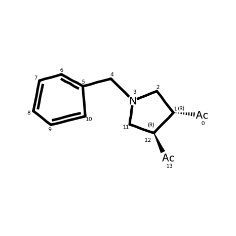 CC(=O)[C@H]1CN(Cc2ccccc2)C[C@@H]1C(C)=O